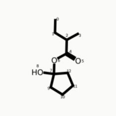 CCC(C)C(=O)OC1(O)CCCC1